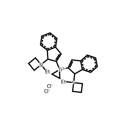 CC[Si]1(C2[C]([Ti+2]3([C]4=Cc5ccccc5C4[Si]4(CC)CCC4)[CH2][CH2]3)=Cc3ccccc32)CCC1.[Cl-].[Cl-]